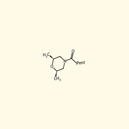 CCCC(C)C(=O)N1C[C@@H](C)O[C@@H](C)C1